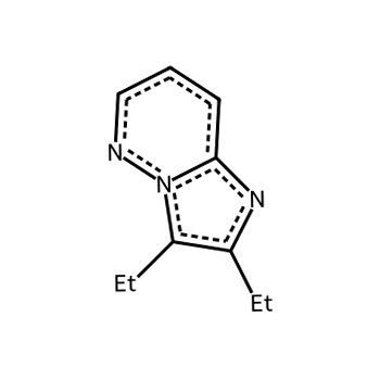 CCc1nc2cccnn2c1CC